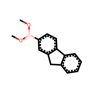 COB(OC)c1ccc2c(c1)Cc1ccccc1-2